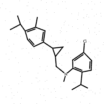 Cc1cc(C2CC2CN(C)c2cc(Cl)ccc2C(C)C)ccc1C(C)C